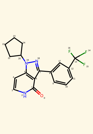 O=c1[nH]ccc2c1c(-c1cccc(C(F)(F)F)c1)nn2C1CCCC1